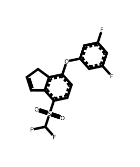 O=S(=O)(c1ccc(Oc2cc(F)cc(F)c2)c2c1C=CC2)C(F)F